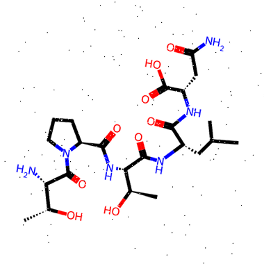 CC(C)C[C@H](NC(=O)[C@@H](NC(=O)[C@@H]1CCCN1C(=O)[C@@H](N)[C@@H](C)O)[C@@H](C)O)C(=O)N[C@@H](CC(N)=O)C(=O)O